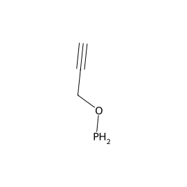 C#CCOP